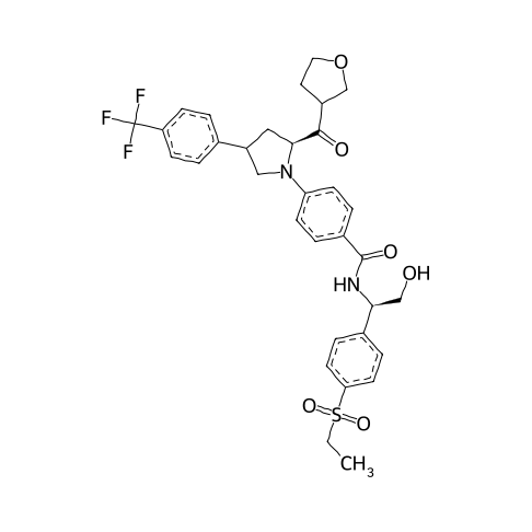 CCS(=O)(=O)c1ccc([C@H](CO)NC(=O)c2ccc(N3CC(c4ccc(C(F)(F)F)cc4)C[C@H]3C(=O)C3CCOC3)cc2)cc1